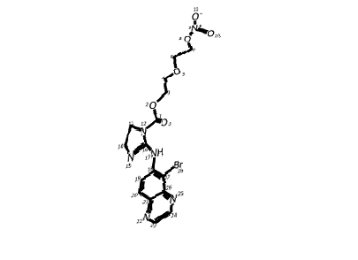 O=C(OCCOCCO[N+](=O)[O-])N1CCN=C1Nc1ccc2nccnc2c1Br